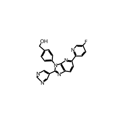 OCc1ccc(-n2c(-c3cncnc3)nc3ccc(-c4ccc(F)cn4)nc32)cc1